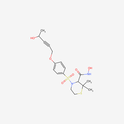 CC(O)C#CCOc1ccc(S(=O)(=O)N2CCSC(C)(C)C2C(=O)NO)cc1